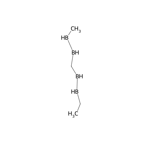 CBBCBBCC